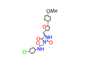 COc1ccc(-c2ccc(/C=C3\NC(=O)N(CC(=O)Nc4ccc(Cl)cc4)C3=O)o2)cc1